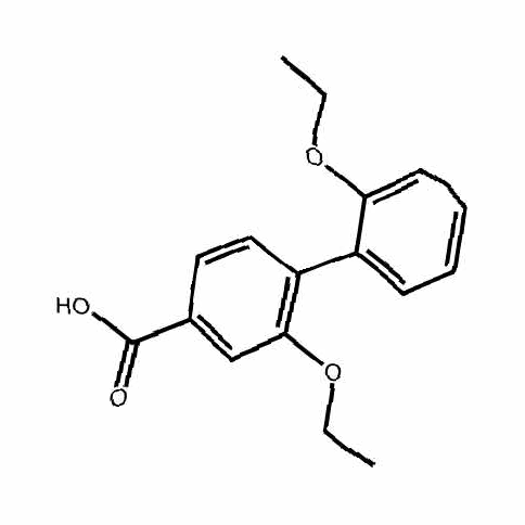 CCOc1ccccc1-c1ccc(C(=O)O)cc1OCC